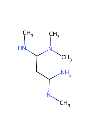 C[N]C(N)CC(NC)N(C)C